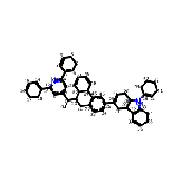 C[C@@H](c1cc(C2=CCCC=C2)nc(C2=CC=CCC2)c1)C1Cc2ccc(C3=CCC4C(C3)C3=C(CCC=C3)N4C3=CCCCC3)cc2C2C=CC=CC21